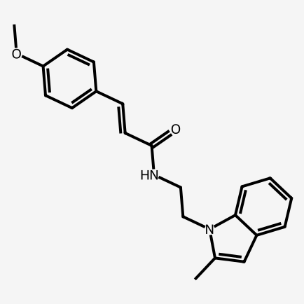 COc1ccc(C=CC(=O)NCCn2c(C)cc3ccccc32)cc1